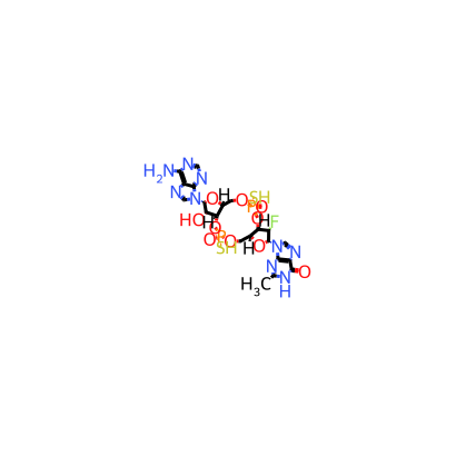 Cc1nc2c(ncn2[C@@H]2O[C@@H]3CO[P@@](=O)(S)O[C@H]4[C@@H](O)[C@H](n5cnc6c(N)ncnc65)O[C@@H]4CO[P@@](=O)(S)O[C@H]3[C@H]2F)c(=O)[nH]1